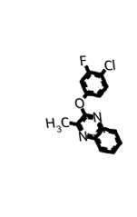 Cc1nc2ccccc2nc1Oc1ccc(Cl)c(F)c1